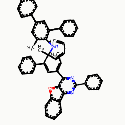 C=C/C=C\C(C)(Nc1c(C)cc(-c2ccccc2)cc1-c1ccccc1)/C(=C\C(=C/C)c1nc(-c2ccccc2)nc2c1oc1ccccc12)c1ccccc1